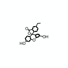 CCc1ccc2c(c1)C(=O)OC21c2ccc(O)cc2Oc2cc(O)ccc21